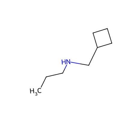 CCCNCC1CCC1